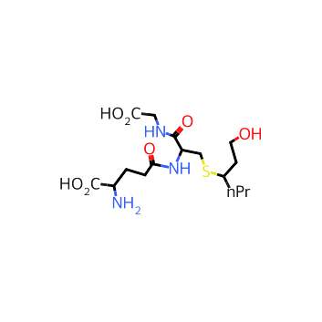 CCCC(CCO)SCC(NC(=O)CCC(N)C(=O)O)C(=O)NCC(=O)O